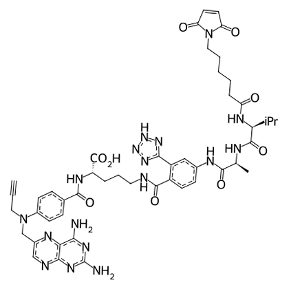 C#CCN(Cc1cnc2nc(N)nc(N)c2n1)c1ccc(C(=O)N[C@@H](CCCNC(=O)c2ccc(NC(=O)[C@H](C)NC(=O)[C@@H](NC(=O)CCCCCN3C(=O)C=CC3=O)C(C)C)cc2-c2nn[nH]n2)C(=O)O)cc1